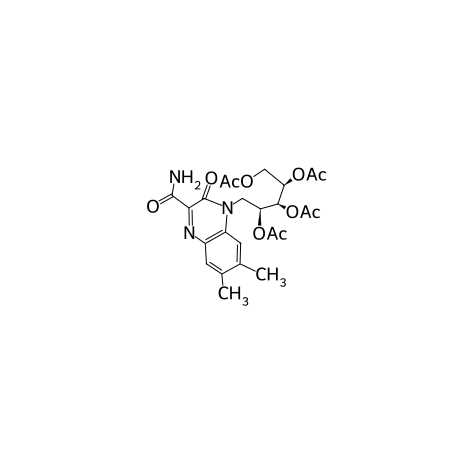 CC(=O)OC[C@@H](OC(C)=O)[C@@H](OC(C)=O)[C@H](Cn1c(=O)c(C(N)=O)nc2cc(C)c(C)cc21)OC(C)=O